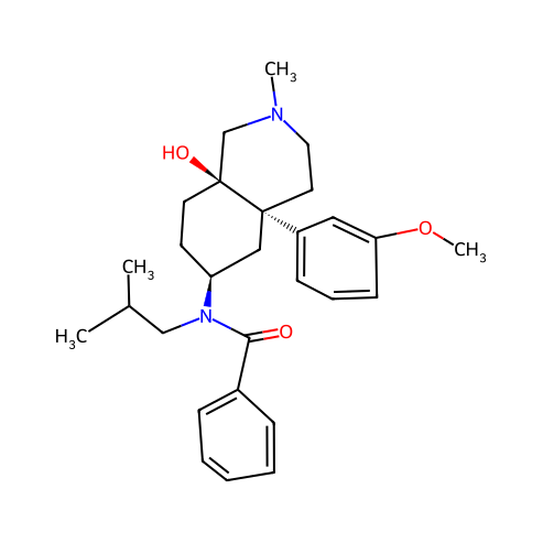 COc1cccc([C@@]23CCN(C)C[C@@]2(O)CC[C@H](N(CC(C)C)C(=O)c2ccccc2)C3)c1